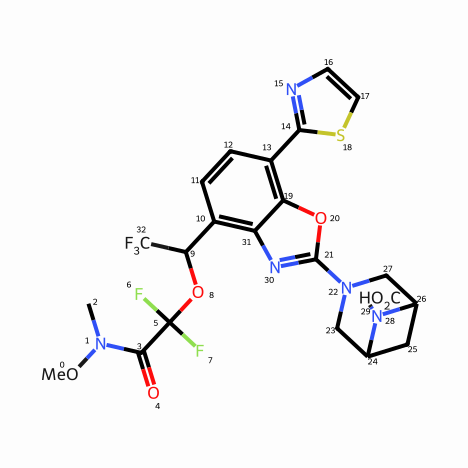 CON(C)C(=O)C(F)(F)OC(c1ccc(-c2nccs2)c2oc(N3CC4CC(C3)N4C(=O)O)nc12)C(F)(F)F